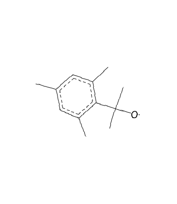 Cc1cc(C)c(C(C)(C)[O])c(C)c1